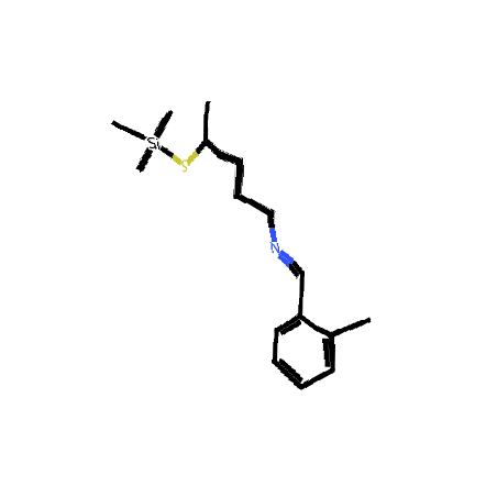 Cc1ccccc1C=NCCCC(C)S[Si](C)(C)C